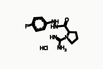 Cl.N=C(N)N1CCCC1C(=O)NNc1ccc(F)cc1